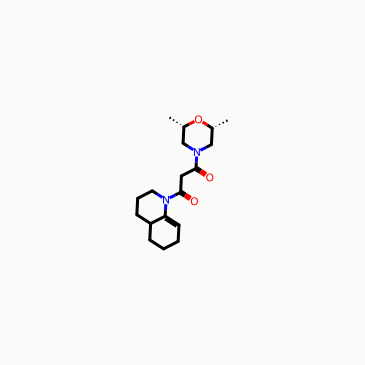 C[C@@H]1CN(C(=O)CC(=O)N2CCCC3CCCC=C32)C[C@H](C)O1